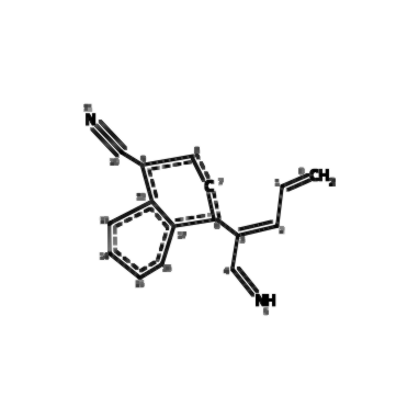 C=C/C=C(/C=N)c1ccc(C#N)c2ccccc12